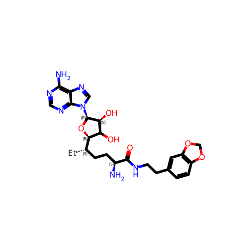 CC[C@@H](CC[C@H](N)C(=O)NCCc1ccc2c(c1)OCO2)[C@H]1O[C@@H](n2cnc3c(N)ncnc32)[C@@H](O)C1O